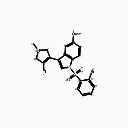 COc1ccc2c(c1)c(C1=C(Cl)CN(C)C1)cn2S(=O)(=O)c1ccccc1Br